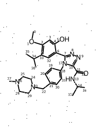 COc1cc(O)c(-c2nnc(C(=O)NC(C)C)n2-c2ccc(CN3CCN(C)CC3)cc2)cc1C(C)C